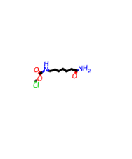 NC(=O)CCCCCCNC(=O)OCCl